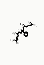 CC(C)CCCC(C)CCC(N)(CCC(C)CCCC(C)C)c1ccccc1